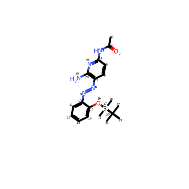 CC(=O)Nc1ccc(N=Nc2ccccc2O[Si](C)(C)C(C)(C)C)c(N)n1